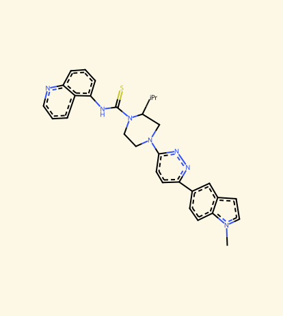 CC(C)C1CN(c2ccc(-c3ccc4c(ccn4C)c3)nn2)CCN1C(=S)Nc1cccc2ncccc12